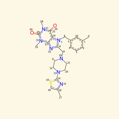 Cc1cccc(Cn2c(CN3CCN(c4nc(C)cs4)CC3)nc3c2c(=O)n(C)c(=O)n3C)c1